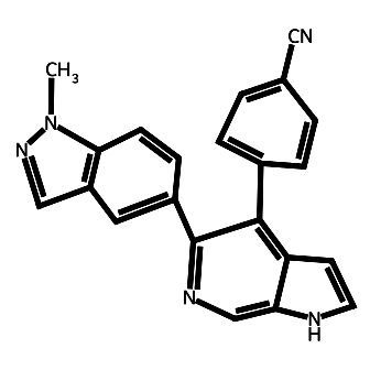 Cn1ncc2cc(-c3ncc4[nH]ccc4c3-c3ccc(C#N)cc3)ccc21